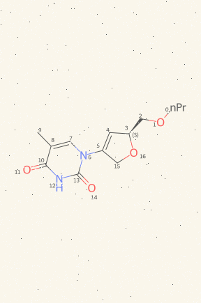 CCCOC[C@@H]1C=C(n2cc(C)c(=O)[nH]c2=O)CO1